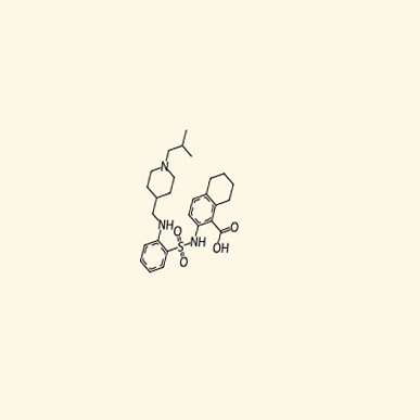 CC(C)CN1CCC(CNc2ccccc2S(=O)(=O)Nc2ccc3c(c2C(=O)O)CCCC3)CC1